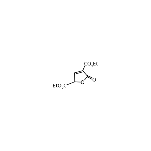 CCOC(=O)C1=CC(C(=O)OCC)OC1=O